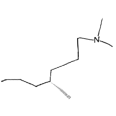 CCC[C@@H](C)CCCN(C)C